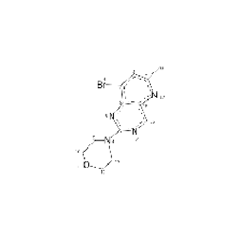 Cc1cc(Br)c2nc(N3CCOCC3)ncc2n1